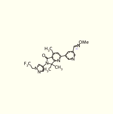 CO/N=C/c1cncc(-c2cc(C)c3c(n2)C(C)(C)N(c2cnn(CC(F)(F)F)c2)C3=O)c1